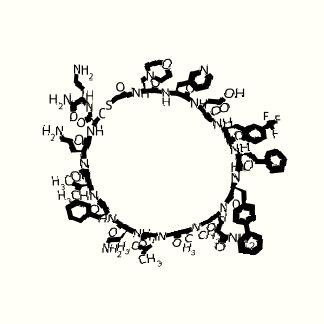 CC(C)C[C@H]1NC(=O)[C@H](C)N(C)C(=O)[C@H](CCC(N)=O)NC(=O)[C@H](Cc2ccc(-c3ccccc3)cc2)NC(=O)[C@H](CCc2ccccc2)NC(=O)[C@H](Cc2cccc(C(F)(F)F)c2)NC(=O)[C@H](CC(=O)O)NC(=O)[C@H](Cc2cccnc2)NC(=O)[C@H](CN2CCOCC2)NC(=O)CSC[C@@H](C(=O)N[C@@H](CCN)C(N)=O)NC(=O)[C@H](CCCN)NC(=O)[C@H](C(C)C)NC(=O)[C@H](CC2CCCCC2)NC(=O)[C@H](CCN)NC1=O